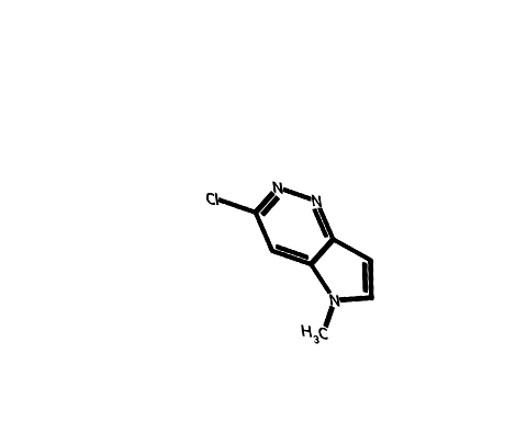 Cn1ccc2nnc(Cl)cc21